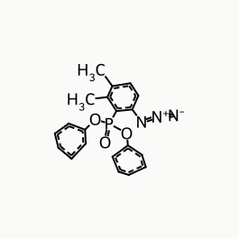 Cc1ccc(N=[N+]=[N-])c(P(=O)(Oc2ccccc2)Oc2ccccc2)c1C